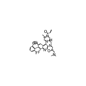 C=CC(=O)N1C[C@H]2CN3C[C@@H](CN(C)C)Oc4nc5c(F)c(-c6c(O)cccc6F)c(Cl)cc5c(c43)N2C[C@H]1C